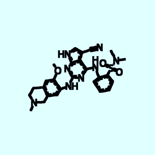 COc1cc2c(cc1Nc1nc(Nc3ccccc3S(=O)(=O)N(C)C)c3c(C#N)c[nH]c3n1)CN(C)CC2